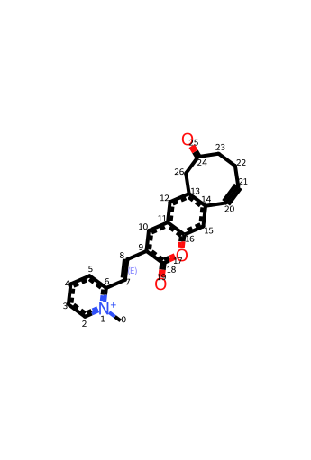 C[n+]1ccccc1/C=C/c1cc2cc3c(cc2oc1=O)C#CCCC(=O)C3